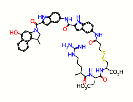 CC1CN(C(=O)c2cc3cc(NC(=O)c4cc5cc(NC(=O)CCSSC[C@H](NC(=O)[C@H](CC(=O)O)NC(=O)[C@@H](C)CCCNC(=N)N)C(=O)O)ccc5[nH]4)ccc3[nH]2)c2cc(O)c3ccccc3c21